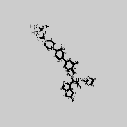 CC(C)(C)OC(=O)N1CCN(c2ccc(-c3cc(F)c4cn(C(C(=O)Nc5nccs5)c5ncn6c5C[C@@H](F)C6)nc4c3)cc2Cl)CC1